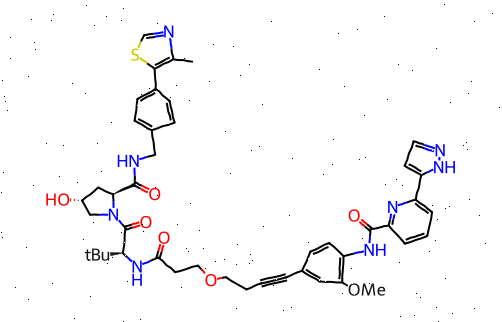 COc1cc(C#CCCOCCC(=O)N[C@H](C(=O)N2C[C@H](O)C[C@H]2C(=O)NCc2ccc(-c3scnc3C)cc2)C(C)(C)C)ccc1NC(=O)c1cccc(-c2ccn[nH]2)n1